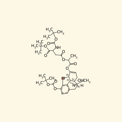 CC(OC(=O)CC(NC(=O)OC(C)(C)C)C(=O)OC(C)(C)C)C(=O)OC1=CC[C@@]2(O)[C@H]3Cc4ccc(OC(=O)OC(C)(C)C)c5c4[C@@]2(CCN3C)[C@H]1O5